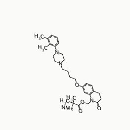 CNC(C)(C)C(=O)OCN1C(=O)CCc2ccc(OCCCCN3CCN(c4cccc(C)c4C)CC3)cc21